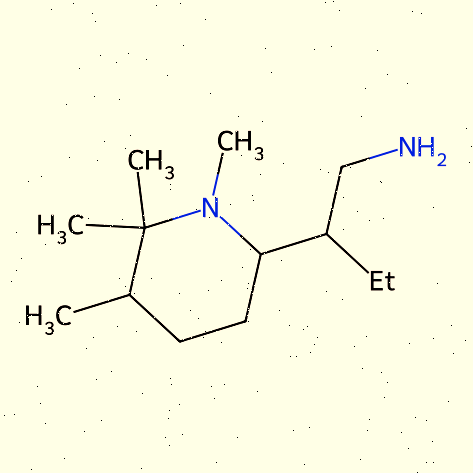 CCC(CN)C1CCC(C)C(C)(C)N1C